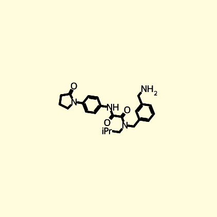 CC(C)CN(Cc1cccc(CN)c1)C(=O)C(=O)Nc1ccc(N2CCCC2=O)cc1